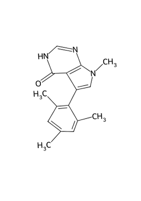 Cc1cc(C)c(-c2cn(C)c3nc[nH]c(=O)c23)c(C)c1